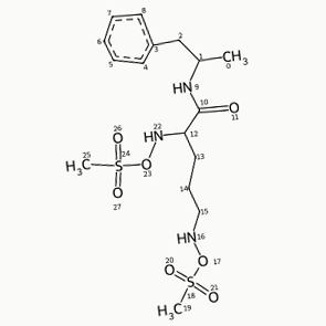 CC(Cc1ccccc1)NC(=O)C(CCCNOS(C)(=O)=O)NOS(C)(=O)=O